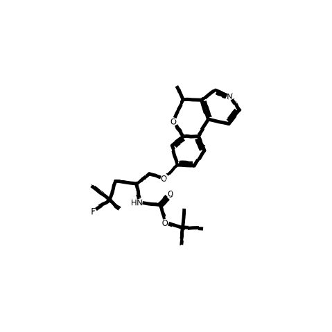 CC1Oc2cc(OCC(CC(C)(C)F)NC(=O)OC(C)(C)C)ccc2-c2ccncc21